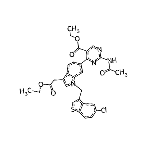 CCOC(=O)Cc1cn(Cc2csc3ccc(Cl)cc23)c2cc(-c3nc(NC(C)=O)ncc3C(=O)OCC)ccc12